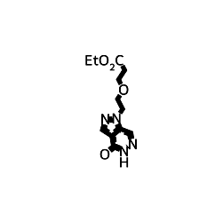 CCOC(=O)CCOCCn1ncc2c(=O)[nH]ncc21